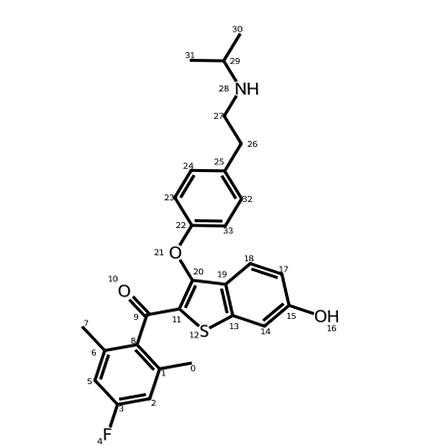 Cc1cc(F)cc(C)c1C(=O)c1sc2cc(O)ccc2c1Oc1ccc(CCNC(C)C)cc1